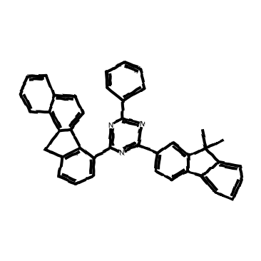 CC1(C)c2ccccc2-c2ccc(-c3nc(-c4ccccc4)nc(-c4cccc5c4-c4ccc6ccccc6c4C5)n3)cc21